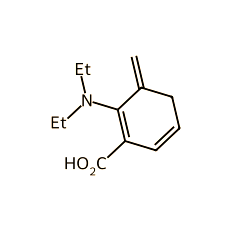 C=C1CC=CC(C(=O)O)=C1N(CC)CC